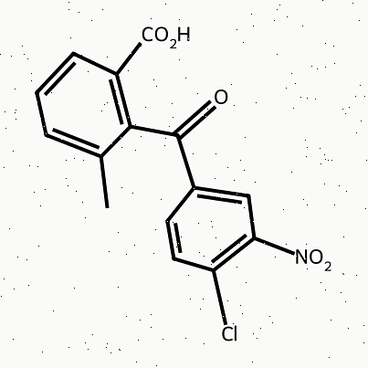 Cc1cccc(C(=O)O)c1C(=O)c1ccc(Cl)c([N+](=O)[O-])c1